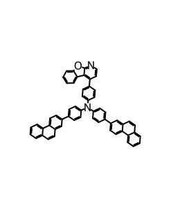 c1ccc2c(c1)ccc1cc(-c3ccc(N(c4ccc(-c5ccc6c(ccc7ccccc76)c5)cc4)c4ccc(-c5ccnc6oc7ccccc7c56)cc4)cc3)ccc12